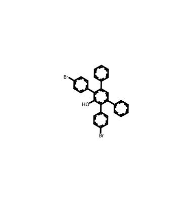 Oc1c(-c2ccc(Br)cc2)c(-c2ccccc2)cc(-c2ccccc2)c1-c1ccc(Br)cc1